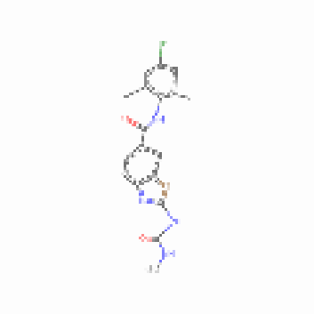 Cc1cc(Br)cc(C)c1NC(=O)c1ccc2nc(NC(=O)NC(C)(C)C)sc2c1